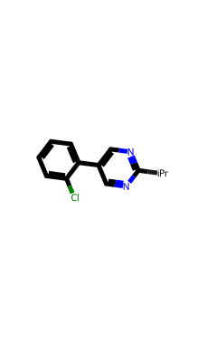 CC(C)c1ncc(-c2ccccc2Cl)cn1